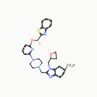 C[C@H](Oc1cccc(N2CCN(Cc3nc4ccc(C(=O)O)cc4n3CC3CCO3)CC2)n1)c1nc2ccccc2s1